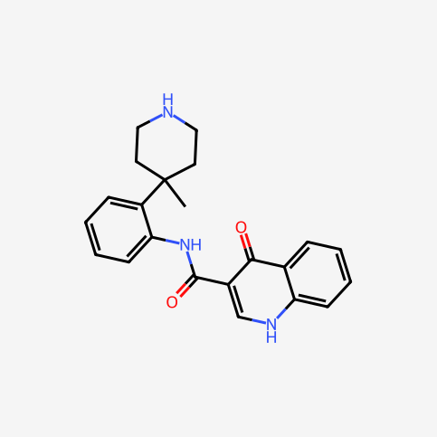 CC1(c2ccccc2NC(=O)c2c[nH]c3ccccc3c2=O)CCNCC1